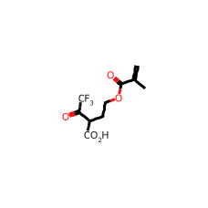 C=C(C)C(=O)OCCC(C(=O)O)C(=O)C(F)(F)F